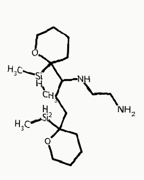 C[SiH2]C1(CCC(NCCN)C2([SiH](C)C)CCCCO2)CCCCO1